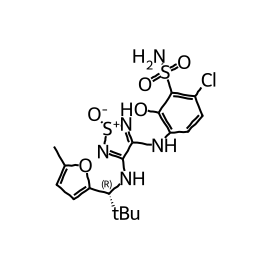 Cc1ccc([C@H](Nc2n[s+]([O-])nc2Nc2ccc(Cl)c(S(N)(=O)=O)c2O)C(C)(C)C)o1